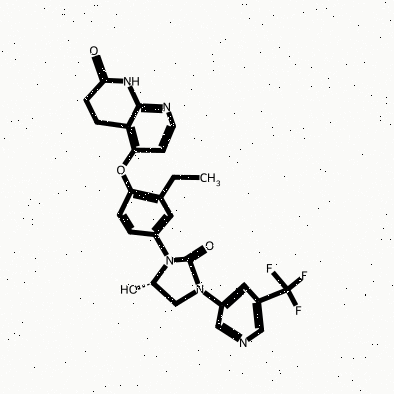 CCc1cc(N2C(=O)N(c3cncc(C(F)(F)F)c3)C[C@@H]2O)ccc1Oc1ccnc2c1CCC(=O)N2